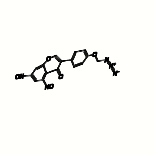 [N-]=[N+]=NCOc1ccc(-c2coc3cc(N=O)cc(N=O)c3c2=O)cc1